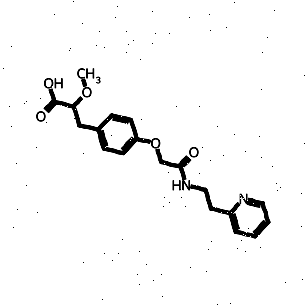 COC(Cc1ccc(OCC(=O)NCCc2ccccn2)cc1)C(=O)O